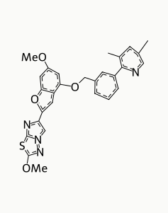 COc1cc(OCc2cccc(-c3ncc(C)cc3C)c2)c2cc(-c3cn4nc(OC)sc4n3)oc2c1